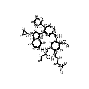 C=CC(=O)Nc1cc(Nc2ncc(-c3ncco3)c(-c3cn(C4CC4)c4ccccc34)n2)c(OC)cc1N(C)CCN(C)C